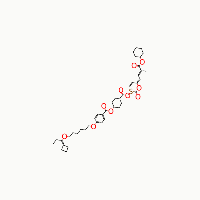 C=C/C(=C\C=C(/C)C(=O)OC1CCCCC1)OC(=O)SOC(=O)C1CCC(OC(=O)c2ccc(OCCCCCCOC(CC)=C3CCC3)cc2)CC1